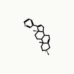 C[C@H]1CCC2(C)C(=CCC3C2CC[C@]2(C)C(c4cccnc4)=CCC32)C1